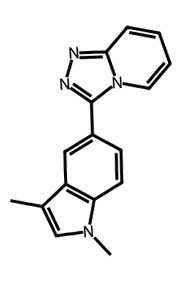 Cc1cn(C)c2ccc(-c3nnc4ccccn34)cc12